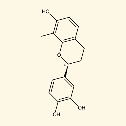 Cc1c(O)ccc2c1O[C@H](c1ccc(O)c(O)c1)CC2